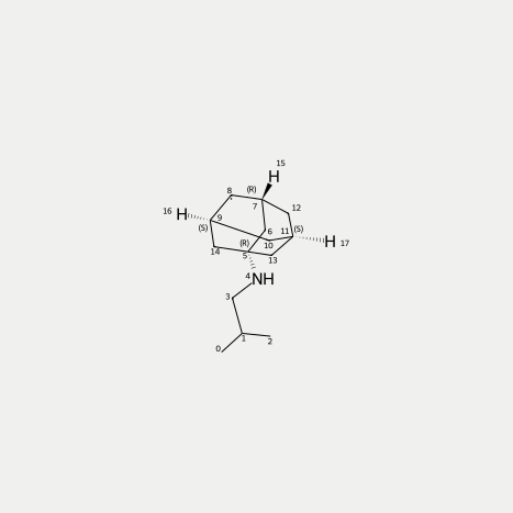 CC(C)CN[C@]12C[C@@H]3[CH][C@@H](C[C@@H](C3)C1)C2